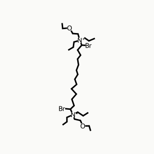 CCC[N+](CCC)(CCOCC)C(Br)CCCCCCCCCCCCC(Br)[N+](CCC)(CCC)CCOCC